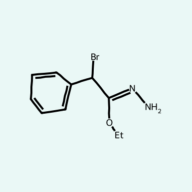 CCOC(=NN)C(Br)c1ccccc1